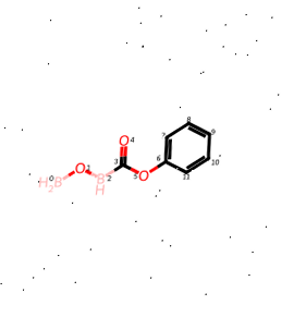 BOBC(=O)Oc1ccccc1